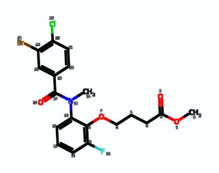 COC(=O)CCCOc1c(F)cccc1N(C)C(=O)c1ccc(Cl)c(Br)c1